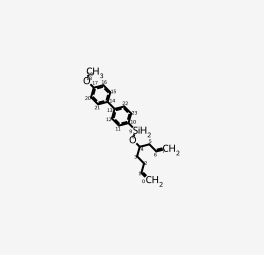 C=CCCC(CC=C)O[SiH2]c1ccc(-c2ccc(OC)cc2)cc1